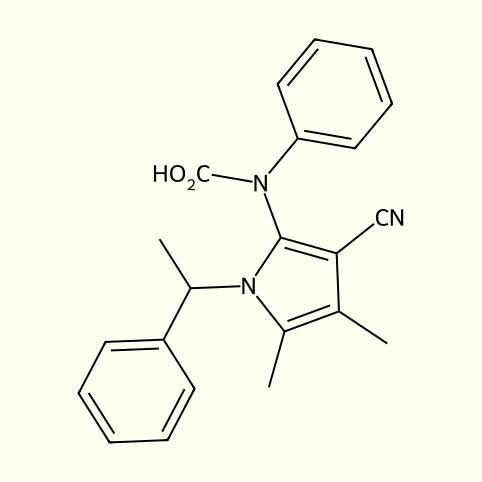 Cc1c(C#N)c(N(C(=O)O)c2ccccc2)n(C(C)c2ccccc2)c1C